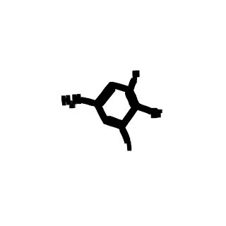 Nc1cc(F)c(Br)c(I)c1